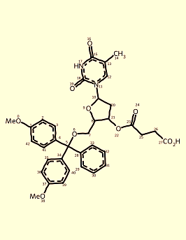 COc1ccc(C(OCC2OC(n3cc(C)c(=O)[nH]c3=O)CC2OC(=O)CCC(=O)O)(c2ccccc2)c2ccc(OC)cc2)cc1